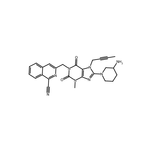 CC#CCn1c(N2CCCC(N)C2)nc2c1c(=O)n(Cc1cc3ccccc3c(C#N)n1)c(=O)n2C